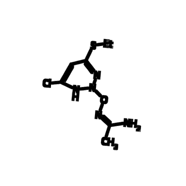 CCSC1=NN(ON=C(C)N)NC(Cl)=C1